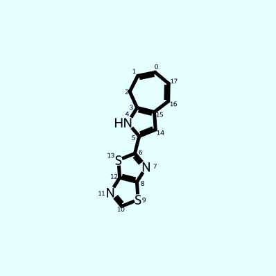 C1=CCc2[nH]c(-c3nc4scnc4s3)cc2C=C1